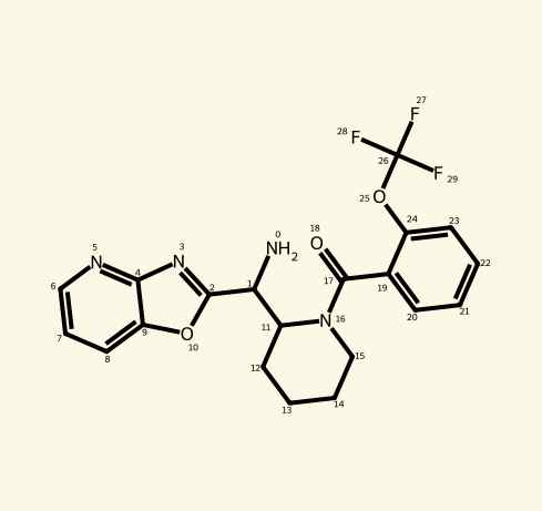 NC(c1nc2ncccc2o1)C1CCCCN1C(=O)c1ccccc1OC(F)(F)F